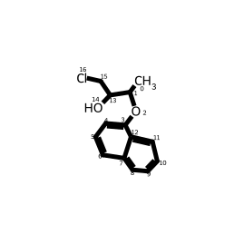 CC(Oc1cccc2ccccc12)C(O)CCl